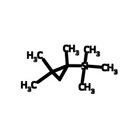 CC1(C)CC1(C)[Si](C)(C)C